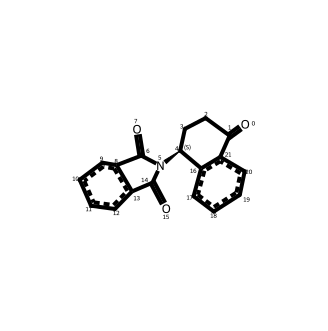 O=C1CC[C@H](N2C(=O)c3ccccc3C2=O)c2ccccc21